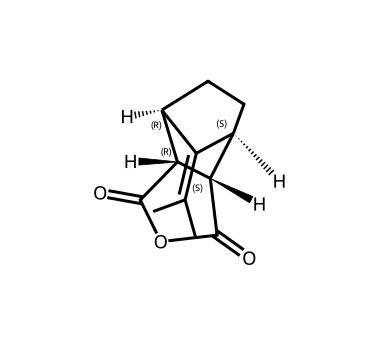 CC(C)=C1[C@H]2CC[C@@H]1[C@H]1C(=O)OC(=O)[C@H]12